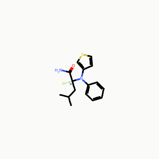 CC(C)C[C@@](F)(C(N)=O)N(c1ccccc1)c1ccsc1